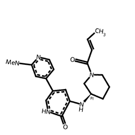 CC=CC(=O)N1CCC[C@@H](Nc2cc(-c3ccnc(NC)c3)c[nH]c2=O)C1